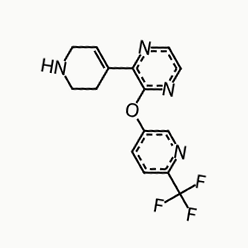 FC(F)(F)c1ccc(Oc2nccnc2C2=CCNCC2)cn1